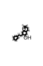 CC1(C)CCc2cc(O)c(CCc3ccccc3)cc2O1